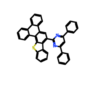 c1ccc(-c2cc(-c3ccccc3)nc(-c3cc4c5ccccc5c5ccccc5c4c4sc5ccccc5c34)n2)cc1